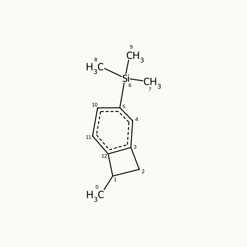 CC1Cc2cc([Si](C)(C)C)ccc21